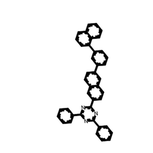 c1ccc(-c2nc(-c3ccccc3)nc(-c3ccc4cc(-c5cccc(-c6cccc7ccccc67)c5)ccc4c3)n2)cc1